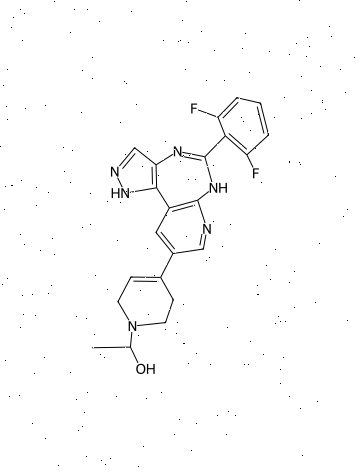 CC(O)N1CC=C(c2cnc3c(c2)-c2[nH]ncc2N=C(c2c(F)cccc2F)N3)CC1